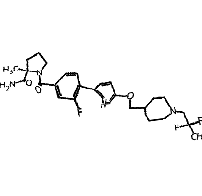 CC(F)(F)CN1CCC(COc2ccc(-c3ccc(C(=O)N4CCC[C@@]4(C)C(N)=O)cc3F)nc2)CC1